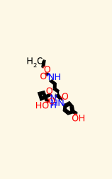 C=CCOC(=O)NCCCC[C@H](NC(=O)C1(C(=O)O)CCC1)C(=O)Nc1ccc(CO)cc1